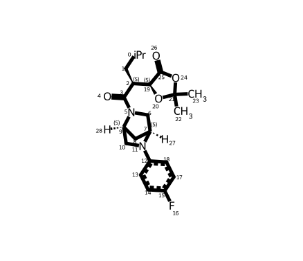 CC(C)C[C@H](C(=O)N1C[C@@H]2C[C@H]1CN2c1ccc(F)cc1)[C@@H]1OC(C)(C)OC1=O